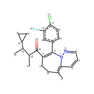 CC1=C2C=CC=NN2C(c2ccc(Cl)c(F)c2)=C(C(=O)C(C)C(C)C2CC2)CC1